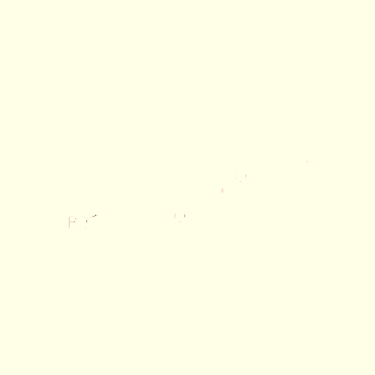 CC[C@H](C)CCCCCOc1ccc(OCc2ccccc2)cc1